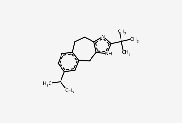 CC(C)c1ccc2c(c1)Cc1[nH]c(C(C)(C)C)nc1CC2